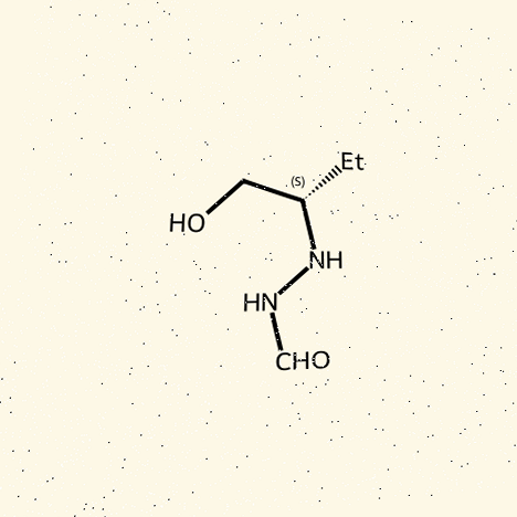 CC[C@@H](CO)NNC=O